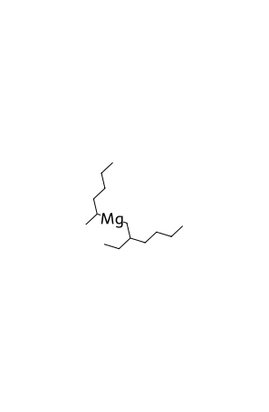 CCCCC(CC)[CH2][Mg][CH](C)CCCC